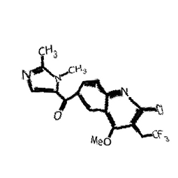 COc1c(CC(F)(F)F)c(Cl)nc2ccc(C(=O)c3cnc(C)n3C)cc12